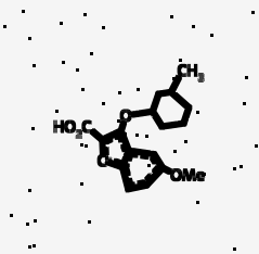 COc1ccc2oc(C(=O)O)c(OC3CCCC(C)C3)c2c1